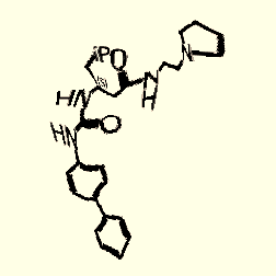 CC(C)C[C@@H](CC(=O)NCCN1CCCC1)NC(=O)Nc1ccc(-c2ccccc2)cc1